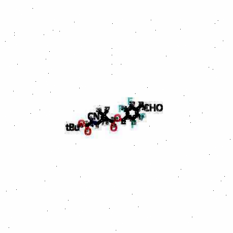 CC(C)(C)OC(=O)/C(C#N)=C/C1C(C(=O)OCc2c(F)c(F)c(CC=O)c(F)c2F)C1(C)C